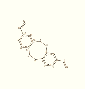 C=Cc1ccc2c(c1)CCc1cc(C=C)ccc1CC2